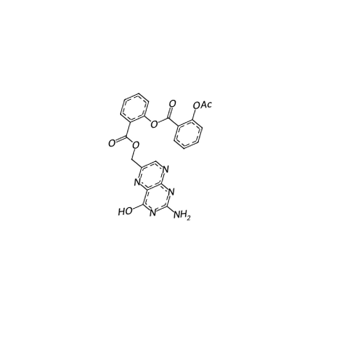 CC(=O)Oc1ccccc1C(=O)Oc1ccccc1C(=O)OCc1cnc2nc(N)nc(O)c2n1